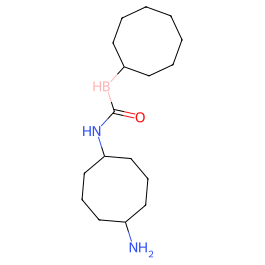 NC1CCCC(NC(=O)BC2CCCCCCC2)CCC1